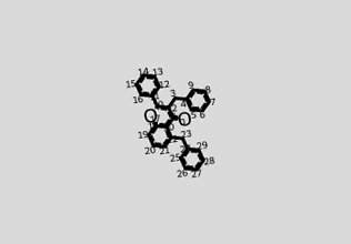 O=c1c(Cc2ccccc2)c(-c2ccccc2)oc2cccc(Cc3ccccc3)c12